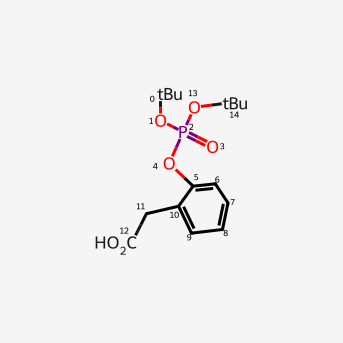 CC(C)(C)OP(=O)(Oc1ccccc1CC(=O)O)OC(C)(C)C